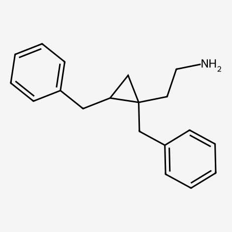 NCCC1(Cc2ccccc2)CC1Cc1ccccc1